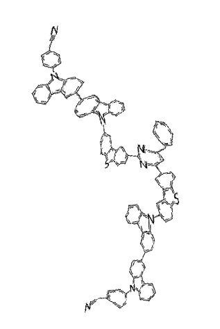 N#Cc1ccc(-n2c3ccccc3c3cc(-c4ccc5c(c4)c4ccccc4n5-c4ccc5sc6ccc(-c7cc(-c8ccccc8)nc(-c8ccc9sc%10ccc(-n%11c%12ccccc%12c%12cc(-c%13ccc%14c(c%13)c%13ccccc%13n%14-c%13ccc(C#N)cc%13)ccc%12%11)cc%10c9c8)n7)cc6c5c4)ccc32)cc1